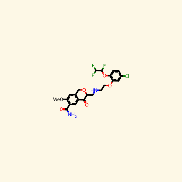 COc1cc2c(cc1C(N)=O)C(=O)C(CNCCOc1cc(Cl)ccc1OC(F)C(F)F)OC2